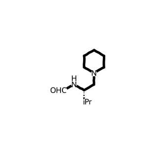 CC(C)[C@@H](CN1CCCCC1)NC=O